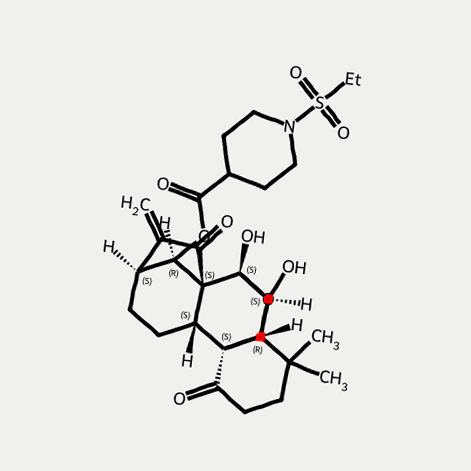 C=C1C(=O)[C@]23[C@H](OC(=O)C4CCN(S(=O)(=O)CC)CC4)[C@H]1CC[C@H]2[C@@]12CO[C@]3(O)[C@@H](O)[C@@H]1C(C)(C)CCC2=O